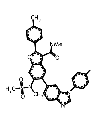 CNC(=O)c1c(-c2ccc(C)cc2)oc2cc(N(C)S(C)(=O)=O)c(-c3ccc4ncn(-c5ccc(F)cc5)c4c3)cc12